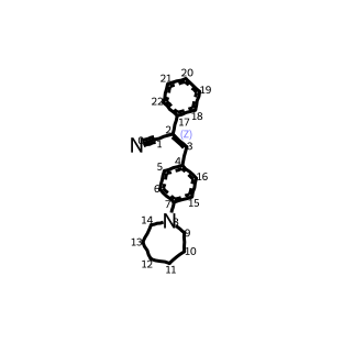 N#C/C(=C\c1ccc(N2CCCCCC2)cc1)c1ccccc1